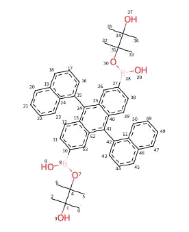 CC(C)(O)C(C)(C)OB(O)c1ccc2c(-c3cccc4ccccc34)c3cc(B(O)OC(C)(C)C(C)(C)O)ccc3c(-c3cccc4ccccc34)c2c1